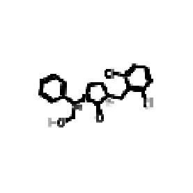 O=C1[C@H](Cc2c(Cl)cccc2Cl)CCN1[C@@H](CO)c1ccccc1